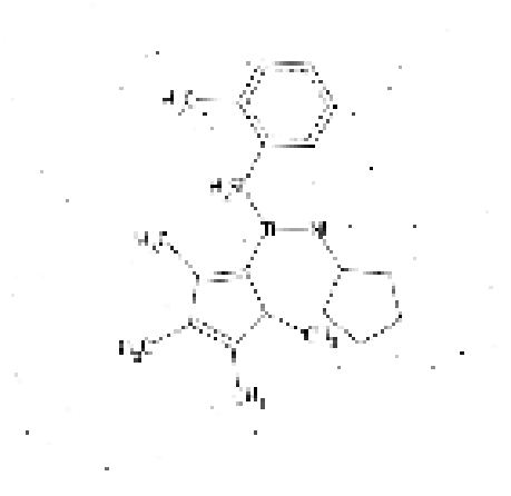 CC1=C(C)C(C)[C]([Ti]([NH]C2CCCC2)[SiH2]c2ccccc2C)=C1C